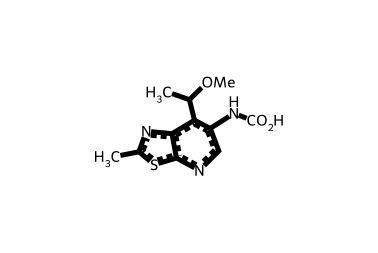 COC(C)c1c(NC(=O)O)cnc2sc(C)nc12